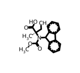 CC[C@](C)(C(=O)O)N(C(=O)OC)C1c2ccccc2-c2ccccc21